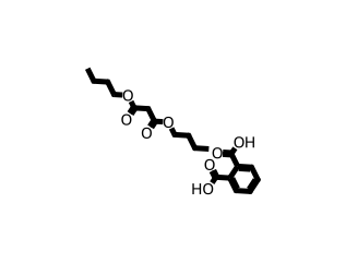 CCCCOC(=O)CC(=O)OCCCC.O=C(O)c1ccccc1C(=O)O